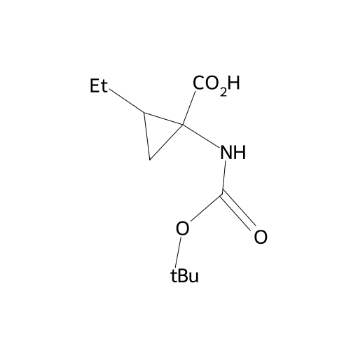 CCC1CC1(NC(=O)OC(C)(C)C)C(=O)O